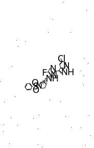 O=S(=O)(c1ccccc1)N1CCC[C@H](CNc2nc(-c3c[nH]c4ncc(Cl)cc34)ncc2F)C1